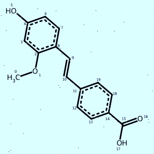 COc1cc(O)ccc1C=Cc1ccc(C(=O)O)cc1